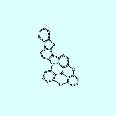 c1cc2c3c(c1)Oc1ccc4c5c6sc7ccccc7c6ccc5n5c4c1B3c1c(cccc1-5)O2